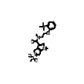 CN(CCOc1ccccc1C(C)(C)C)C(=O)c1n[nH]c2c1CN(S(C)(=O)=O)C2